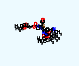 CN(Cc1nc(-c2cnc(N(C(=O)OC(C)(C)C)C(=O)OC(C)(C)C)c3cc(-c4cnn(C)c4)ccc23)sc1C1CCOCC1)C(=O)OCCCCC(=O)OC(C)(C)C